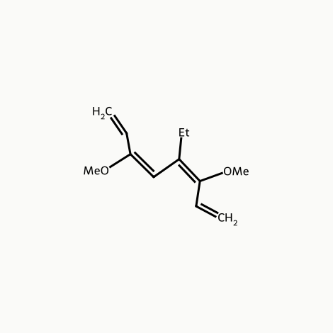 C=C/C(=C\C(CC)=C(/C=C)OC)OC